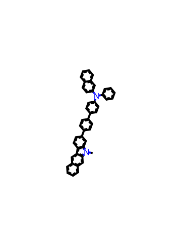 Cn1c2cc(-c3ccc(-c4ccc(N(c5ccccc5)c5ccc6ccccc6c5)cc4)cc3)ccc2c2cc3ccccc3cc21